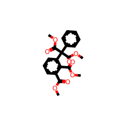 COC(=O)c1cccc(C(C(=O)OC)(C(=O)OC)c2ccccc2)c1C(=O)OC